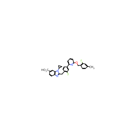 Cc1ccc(COc2cccc(-c3ccc(Cc4nc5ccc(C(=O)O)cc5n4C4CC4)c(F)c3)n2)c(F)c1